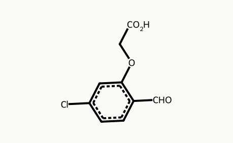 O=Cc1ccc(Cl)cc1OCC(=O)O